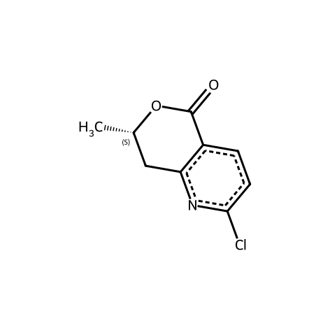 C[C@H]1Cc2nc(Cl)ccc2C(=O)O1